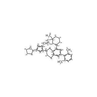 Cc1cccc(C)c1-c1nc2c(c(N3CCCC(C)(C)C3)n1)CN(c1cc(C3CCCO3)nn1C)CC2